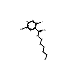 CCCCCCOC(=O)c1cc(I)ccc1I